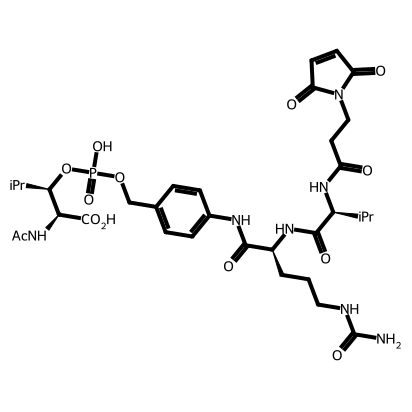 CC(=O)N[C@H](C(=O)O)[C@H](OP(=O)(O)OCc1ccc(NC(=O)[C@H](CCCNC(N)=O)NC(=O)[C@@H](NC(=O)CCN2C(=O)C=CC2=O)C(C)C)cc1)C(C)C